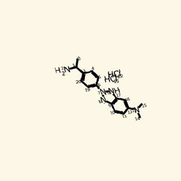 CC(N)c1ccc(N2[N]c3ccc(N(C)C)cc3N2)cc1.Cl.Cl